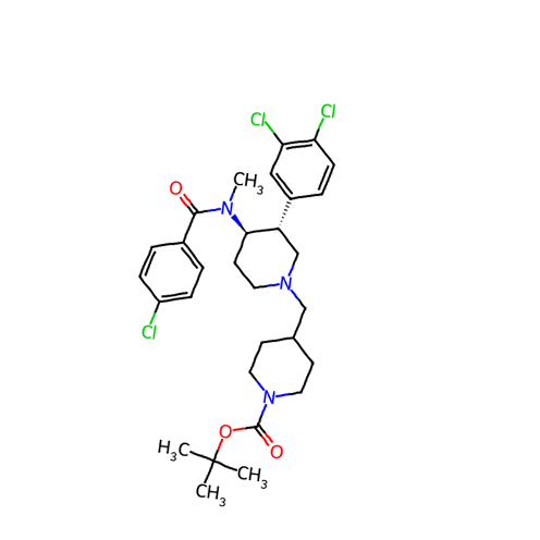 CN(C(=O)c1ccc(Cl)cc1)[C@@H]1CCN(CC2CCN(C(=O)OC(C)(C)C)CC2)C[C@H]1c1ccc(Cl)c(Cl)c1